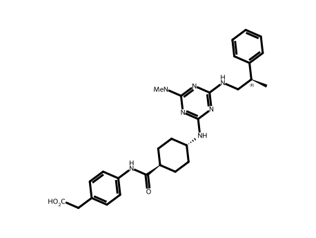 CNc1nc(NC[C@H](C)c2ccccc2)nc(N[C@H]2CC[C@H](C(=O)Nc3ccc(CC(=O)O)cc3)CC2)n1